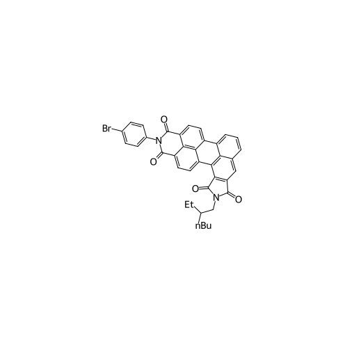 CCCCC(CC)Cn1c(=O)c2cc3cccc4c5ccc6c7c(ccc(c75)c(c2c1=O)c34)C(=O)N(c1ccc(Br)cc1)C6=O